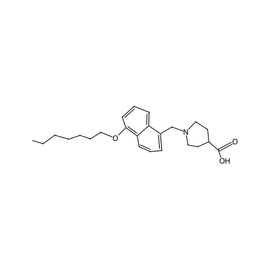 CCCCCCCOc1cccc2c(CN3CCC(C(=O)O)CC3)cccc12